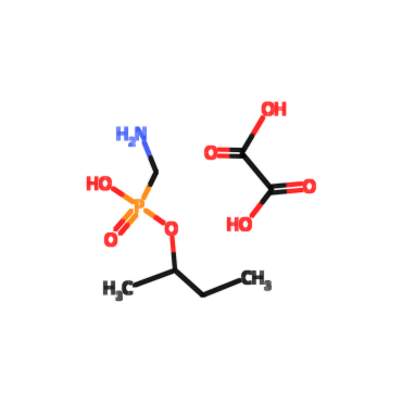 CCC(C)OP(=O)(O)CN.O=C(O)C(=O)O